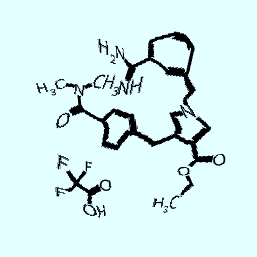 CCOC(=O)c1cn(Cc2cccc(C(=N)N)c2)cc1Cc1ccc(C(=O)N(C)C)cc1.O=C(O)C(F)(F)F